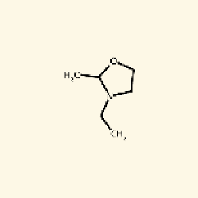 CCN1CCOC1C